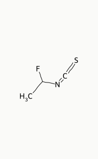 CC(F)N=C=S